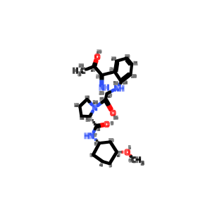 CO[C@@H]1CCC[C@H](NC(=O)[C@@H]2CCCN2C(=O)CNc2ccccc2C(=N)C(C)=O)C1